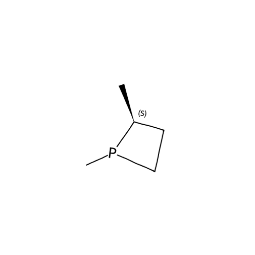 C[C@H]1CCP1C